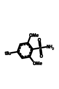 COc1cc(C(C)(C)C)cc(OC)c1S(N)(=O)=O